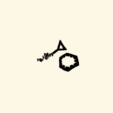 CNC1CC1.F.F.c1ccccc1